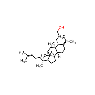 CC(C)=CCC[C@@H](C)[C@@H]1CC[C@]2(C)[C@H]3CCC(=C(C)C)[C@@H](CCCO)[C@]3(C)CC[C@@]12C